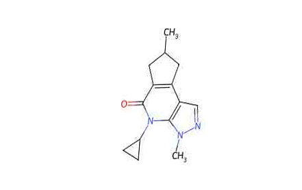 CC1Cc2c(c3cnn(C)c3n(C3CC3)c2=O)C1